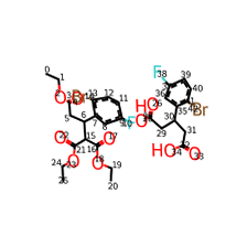 CCOC(=O)CC(c1cc(F)ccc1Br)C(C(=O)OCC)C(=O)OCC.O=C(O)CC(CC(=O)O)c1cc(F)ccc1Br